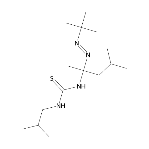 CC(C)CNC(=S)NC(C)(CC(C)C)N=NC(C)(C)C